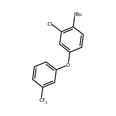 CC(C)(C)c1ccc(Oc2cccc(C(F)(F)F)c2)cc1Cl